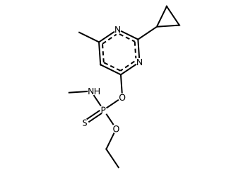 CCOP(=S)(NC)Oc1cc(C)nc(C2CC2)n1